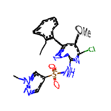 COc1c(Cl)nc(NS(=O)(=O)c2cnn(C)c2)nc1-c1ccccc1C